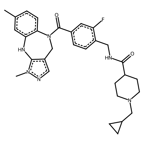 Cc1ccc2c(c1)Nc1c(cnn1C)CN2C(=O)c1ccc(CNC(=O)C2CCN(CC3CC3)CC2)c(F)c1